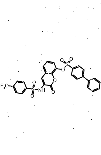 O=c1oc2c(OS(=O)(=O)c3ccc(-c4ccccc4)cc3)cccc2cc1NS(=O)(=O)c1ccc(C(F)(F)F)cc1